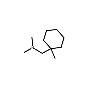 CN(C)CC1(C)CCCCC1